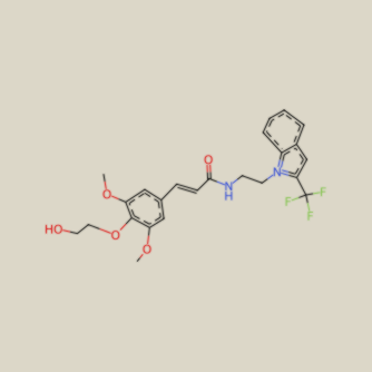 COc1cc(/C=C/C(=O)NCCn2c(C(F)(F)F)cc3ccccc32)cc(OC)c1OCCO